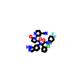 N#Cc1ccnc(N2C(=O)CC[C@H]2C(=O)N(c2ccc3cn[nH]c3c2)C(C(=O)NC2CCC(F)(F)CC2)c2ccccc2Cl)c1